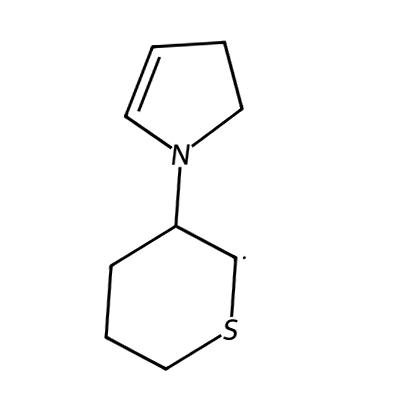 [CH]1SCCCC1N1C=CCC1